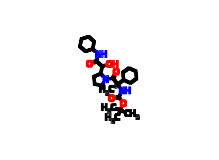 CC(C)(C)OC(=O)N[C@@](C)(C(=O)N1CCCC1C(O)C(=O)NC1CCCCC1)C1CCCCC1